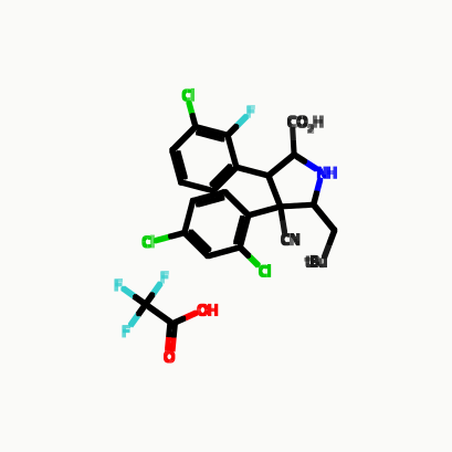 CC(C)(C)CC1NC(C(=O)O)C(c2cccc(Cl)c2F)C1(C#N)c1ccc(Cl)cc1Cl.O=C(O)C(F)(F)F